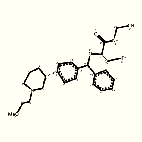 COCCN1CCC[C@H](c2ccc(C(O[C@@H](CC(C)C)C(=O)NCC#N)c3ccccc3)cc2)C1